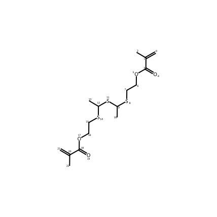 C=C(C)C(=O)OCCSC(C)SC(C)SCCOC(=O)C(=C)C